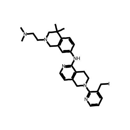 CN(C)CCN1Cc2cc(Nc3nccc4c3CCN(c3ncccc3CI)C4)ccc2C(C)(C)C1